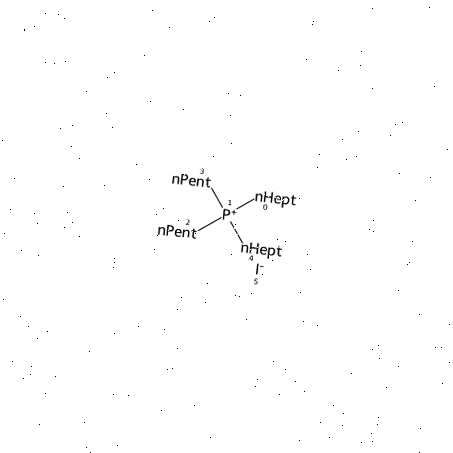 CCCCCCC[P+](CCCCC)(CCCCC)CCCCCCC.[I-]